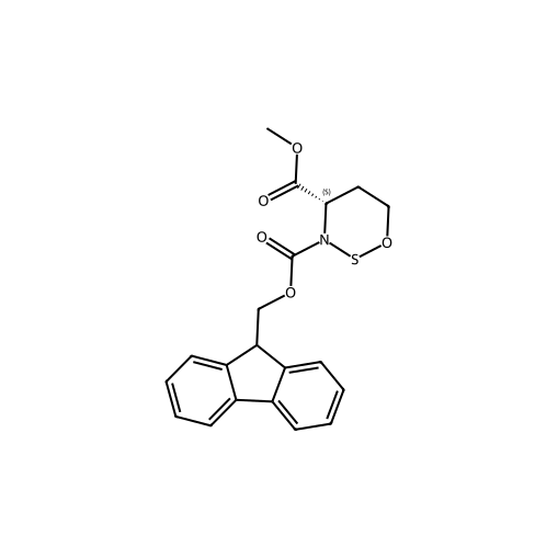 COC(=O)[C@@H]1CCOSN1C(=O)OCC1c2ccccc2-c2ccccc21